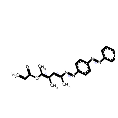 C=CC(=O)O/C(C)=C(C)/C=C(C)/N=N/c1ccc(/N=N/c2ccccc2)cc1